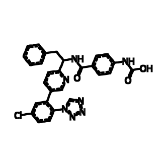 O=C(O)Nc1ccc(C(=O)NC(Cc2ccccc2)c2ccc(-c3cc(Cl)ccc3-n3cnnn3)cn2)cc1